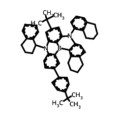 CC(C)(C)c1ccc(-c2ccc3c(c2)B2c4c(cc(C(C)(C)C)cc4N3C3CCCc4ccccc43)N(c3cccc4c3CCCC4)c3ccc4c(c32)CCCC4)cc1